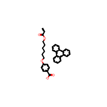 C=CC(=O)OCCCCCCOc1ccc(C([O])=O)cc1.c1ccc2c(c1)c1ccccc1c1ccccc21